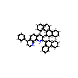 c1ccc(-c2ccnc3c2ccc2c(-c4ccccc4)c(-c4cc5ccccc5c5ccccc45)c(-c4cc5ccccc5c5ccccc45)nc23)cc1